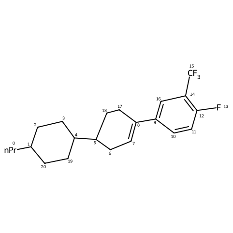 CCCC1CCC(C2CC=C(c3ccc(F)c(C(F)(F)F)c3)CC2)CC1